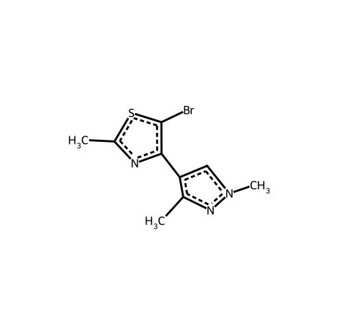 Cc1nc(-c2cn(C)nc2C)c(Br)s1